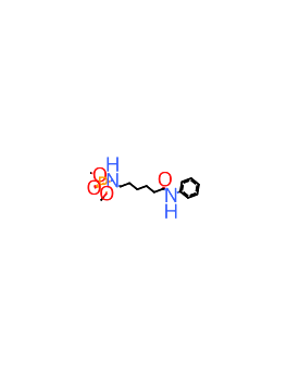 COP(=O)(NCCCCCC(=O)Nc1ccccc1)OC